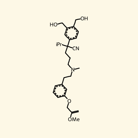 C=C(COc1cccc(CCN(C)CCCC(C#N)(c2ccc(CO)c(CO)c2)C(C)C)c1)OC